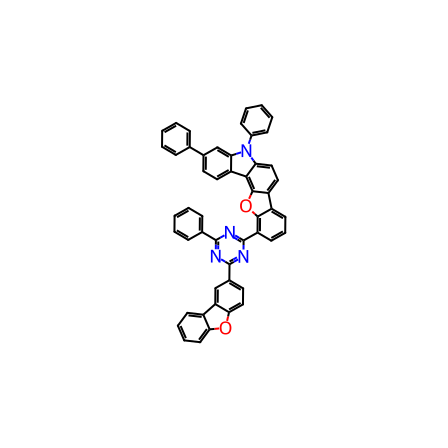 c1ccc(-c2ccc3c4c5oc6c(-c7nc(-c8ccccc8)nc(-c8ccc9oc%10ccccc%10c9c8)n7)cccc6c5ccc4n(-c4ccccc4)c3c2)cc1